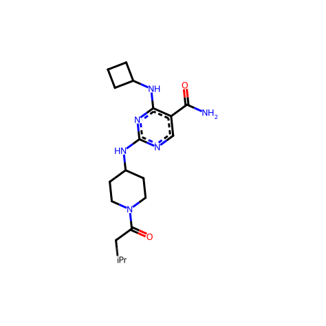 CC(C)CC(=O)N1CCC(Nc2ncc(C(N)=O)c(NC3CCC3)n2)CC1